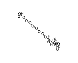 CC(C)(C)OC(=O)[C@H](CCC(=O)NCCOCCOCCOCCOCCOCCOCCOCCOCCC(=O)O)NC(=O)CN1C(=O)C=CC1=O